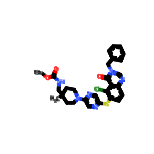 CC1(CNC(=O)OC(C)(C)C)CCN(c2cnc(Sc3ccc4ncn(Cc5ccccc5)c(=O)c4c3Cl)cn2)CC1